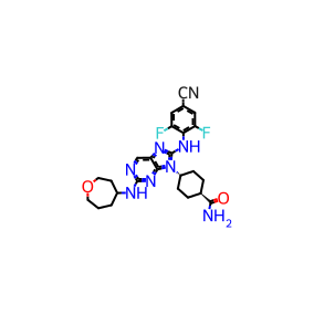 N#Cc1cc(F)c(Nc2nc3cnc(NC4CCCOCC4)nc3n2[C@H]2CC[C@H](C(N)=O)CC2)c(F)c1